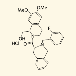 COc1cc2c(cc1OC)C(CO)N(C(=O)[C@@H]1Cc3ccccc3CN1Cc1ccccc1F)CC2.Cl